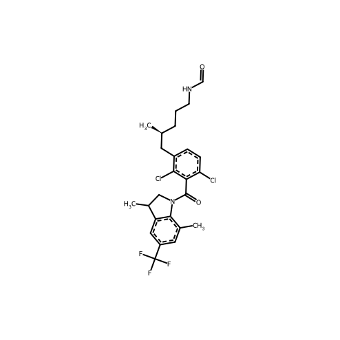 Cc1cc(C(F)(F)F)cc2c1N(C(=O)c1c(Cl)ccc(C[C@@H](C)CCCNC=O)c1Cl)CC2C